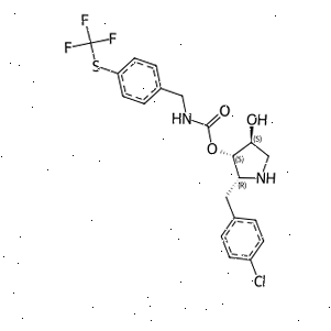 O=C(NCc1ccc(SC(F)(F)F)cc1)O[C@@H]1[C@@H](O)CN[C@@H]1Cc1ccc(Cl)cc1